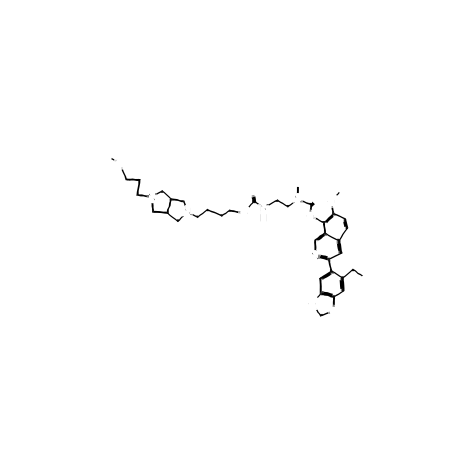 CCc1cc2c(cc1-c1cc3ccc(OC)c(OC(=O)N(C)CCNC(=O)OCCCCN4CC5CN(CCCOC)CC5C4)c3cn1)OCO2